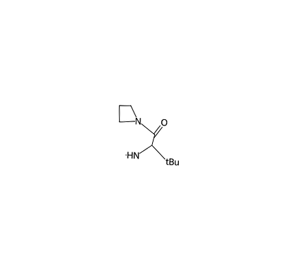 CC(C)(C)C([NH])C(=O)N1CCC1